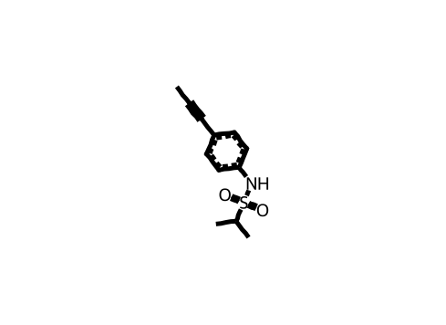 CC#Cc1ccc(NS(=O)(=O)C(C)C)cc1